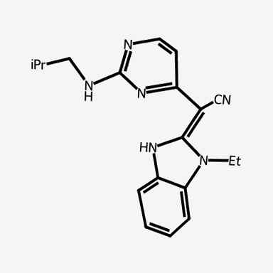 CCN1C(=C(C#N)c2ccnc(NCC(C)C)n2)Nc2ccccc21